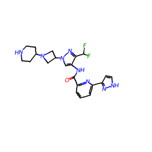 O=C(Nc1cn(C2CN(C3CCNCC3)C2)nc1C(F)F)c1cccc(-c2cc[nH]n2)n1